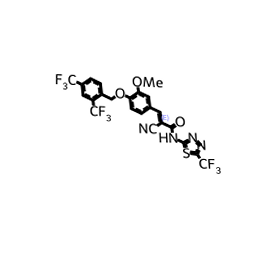 COc1cc(/C=C(\C#N)C(=O)Nc2nnc(C(F)(F)F)s2)ccc1OCc1ccc(C(F)(F)F)cc1C(F)(F)F